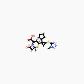 Cn1nnnc1SC1CC1(C1CCCC1)C1C=C(C(=O)O)N2C(=O)C[C@@H]2S1